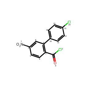 O=C(Cl)c1ccc([N+](=O)[O-])cc1-c1ccc(Cl)cc1